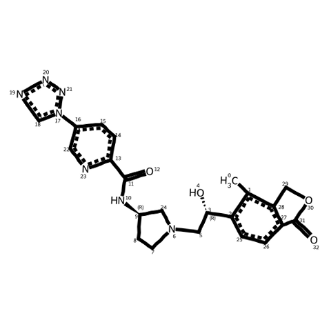 Cc1c([C@@H](O)CN2CC[C@@H](NC(=O)c3ccc(-n4cnnn4)cn3)C2)ccc2c1COC2=O